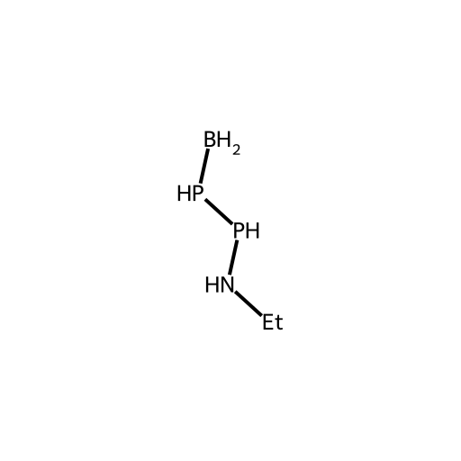 BPPNCC